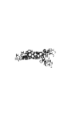 C/C=C(\C)C(=O)OC[C@]1(C)C2CC[C@@]3(S)C4CC[C@@]5(CO)C[C@H](OC(=O)/C(C)=C/C)C(C)(C)CC5C4=CCC3[C@@]2(S)CC[C@@H]1OC(=O)/C(C)=C/C